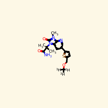 [2H]C([2H])([2H])OCc1ccc(-c2cnc3c(c2)n(C(C)(C)C(N)=O)c(=O)n3C)s1